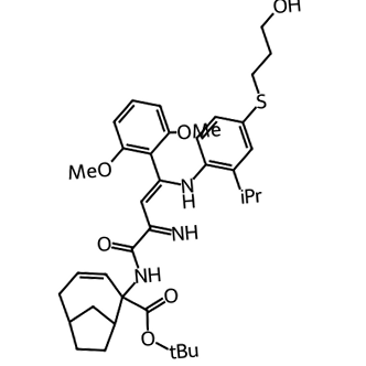 COc1cccc(OC)c1/C(=C/C(=N)C(=O)NC1(C(=O)OC(C)(C)C)C=CCC2CCC1C2)Nc1ccc(SCCCO)cc1C(C)C